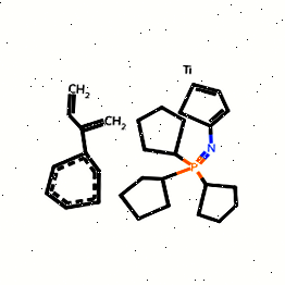 C1=CCC(N=P(C2CCCC2)(C2CCCC2)C2CCCC2)=C1.C=CC(=C)c1ccccc1.[Ti]